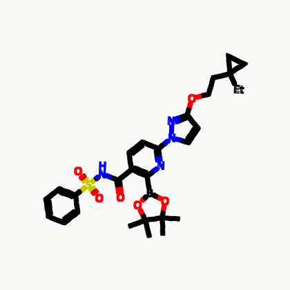 CCC1(CCOc2ccn(-c3ccc(C(=O)NS(=O)(=O)c4ccccc4)c(B4OC(C)(C)C(C)(C)O4)n3)n2)CC1